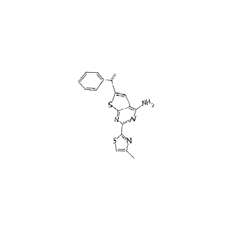 C=C(c1ccccc1)c1cc2c(N)nc(-c3nc(C)cs3)nc2s1